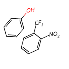 O=[N+]([O-])c1ccccc1C(F)(F)F.Oc1ccccc1